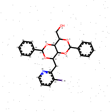 OCC1OC(c2ccccc2)OC2C(Cc3ncccc3I)OC(c3ccccc3)OC12